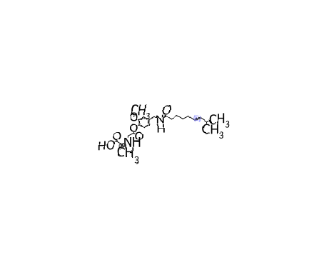 COc1cc(CNC(=O)CCCC/C=C/C(C)C)ccc1OC(=O)CN[C@@H](C)C(=O)O